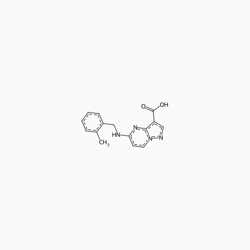 Cc1ccccc1CNc1ccn2ncc(C(=O)O)c2n1